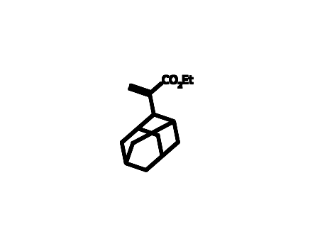 C=C(C(=O)OCC)C1C2CC3CC(C2)CC1C3